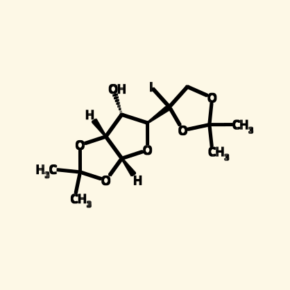 CC1(C)O[C@H]2O[C@H](C3(I)COC(C)(C)O3)[C@@H](O)[C@H]2O1